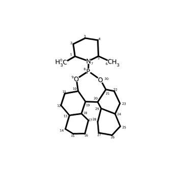 CC1CCCC(C)N1P1OC2CCC3CCCCC3C2C2C(CCC3CCCCC32)O1